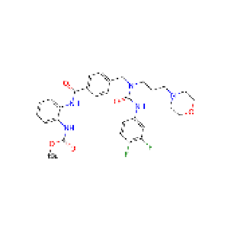 CC(C)(C)OC(=O)Nc1ccccc1NC(=O)c1ccc(CN(CCCN2CCOCC2)C(=O)Nc2ccc(F)c(F)c2)cc1